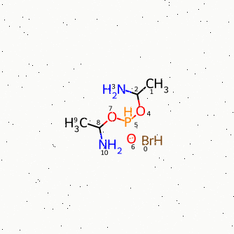 Br.CC(N)O[PH](=O)OC(C)N